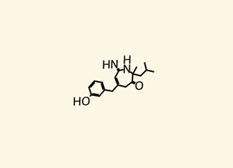 CC(C)CC1(C)NC(=N)C=C(Cc2cccc(O)c2)CC1=O